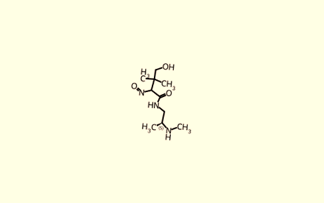 CN[C@@H](C)CNC(=O)C(N=O)C(C)(C)CO